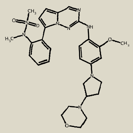 COc1cc(N2CCC(N3CCOCC3)C2)ccc1Nc1ncc2ccc(-c3ccccc3N(C)S(C)(=O)=O)n2n1